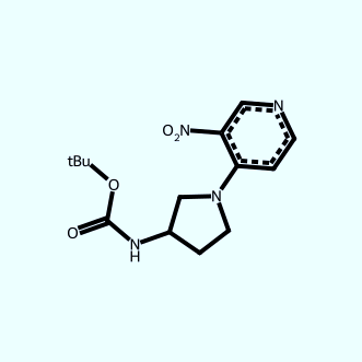 CC(C)(C)OC(=O)NC1CCN(c2ccncc2[N+](=O)[O-])C1